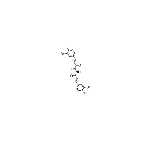 O=C(/C=C/c1ccc(F)c(Br)c1)NNC(=O)/C=C/c1ccc(F)c(Br)c1